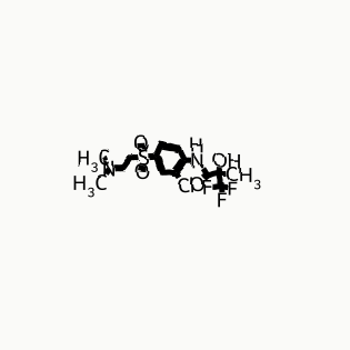 CN(C)CCS(=O)(=O)c1ccc(NC(=O)C(C)(O)C(F)(F)F)c(Cl)c1